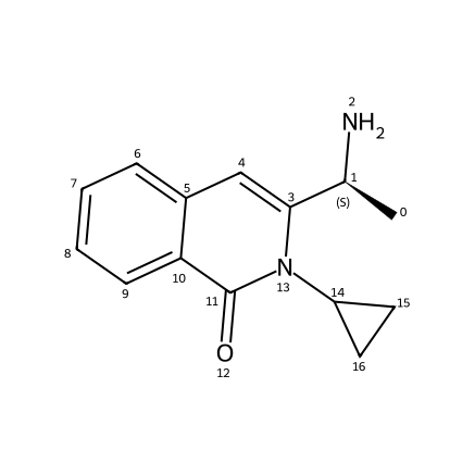 C[C@H](N)c1cc2ccccc2c(=O)n1C1CC1